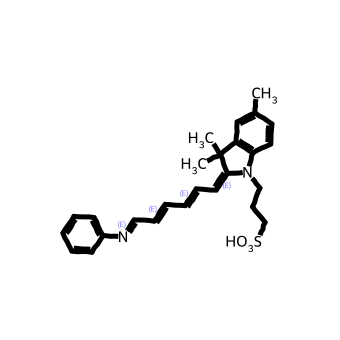 Cc1ccc2c(c1)C(C)(C)\C(=C/C=C/C=C/C=N/c1ccccc1)N2CCCS(=O)(=O)O